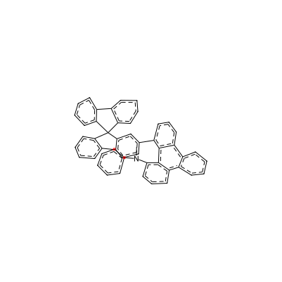 CN(c1ccccc1)c1cccc2c3ccccc3c3cccc(-c4ccc5c(c4)C4(c6ccccc6-c6ccccc64)c4ccccc4-5)c3c12